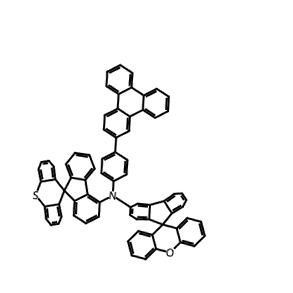 c1ccc2c(c1)Oc1ccccc1C21c2ccccc2-c2cc(N(c3ccc(-c4ccc5c6ccccc6c6ccccc6c5c4)cc3)c3cccc4c3-c3ccccc3C43c4ccccc4Sc4ccccc43)ccc21